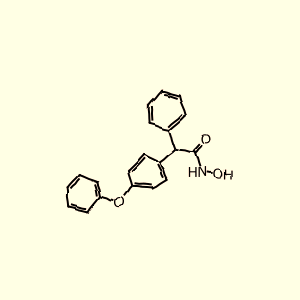 O=C(NO)C(c1ccccc1)c1ccc(Oc2ccccc2)cc1